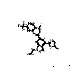 Cc1cnc(-c2cc(C(=O)NC(C)c3cnc(C(F)(F)F)nc3)cc3c2cnn3CCF)s1